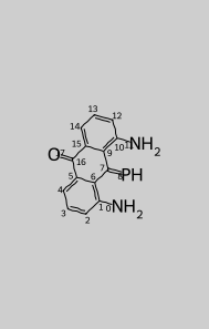 Nc1cccc2c1C(=P)c1c(N)cccc1C2=O